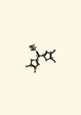 Cl.Cl.[CH2]=[Zr]([C]1=CC(C)=C(C)C1)[C]1=CC(C)=C(C)C1